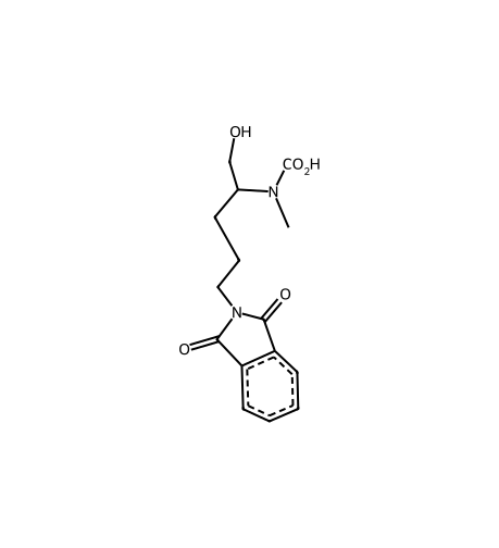 CN(C(=O)O)C(CO)CCCN1C(=O)c2ccccc2C1=O